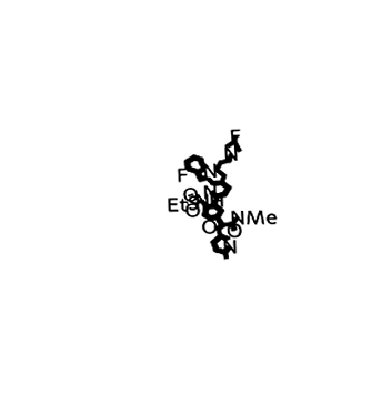 CCS(=O)(=O)Nc1cc2oc(-c3ccc(C)nc3)c(C(=O)NC)c2cc1-c1ccc2c(n1)-c1cc3c(F)cccc3n1C(CCN1CC(F)C1)C2